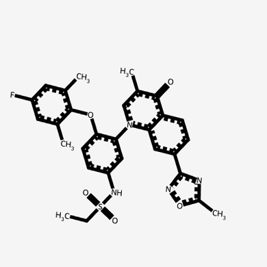 CCS(=O)(=O)Nc1ccc(Oc2c(C)cc(F)cc2C)c(-n2cc(C)c(=O)c3ccc(-c4noc(C)n4)cc32)c1